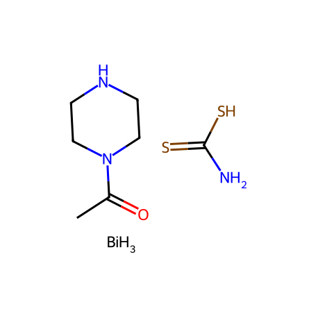 CC(=O)N1CCNCC1.NC(=S)S.[BiH3]